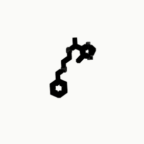 Cc1ncsc1C(C)OCCOCc1ccccc1